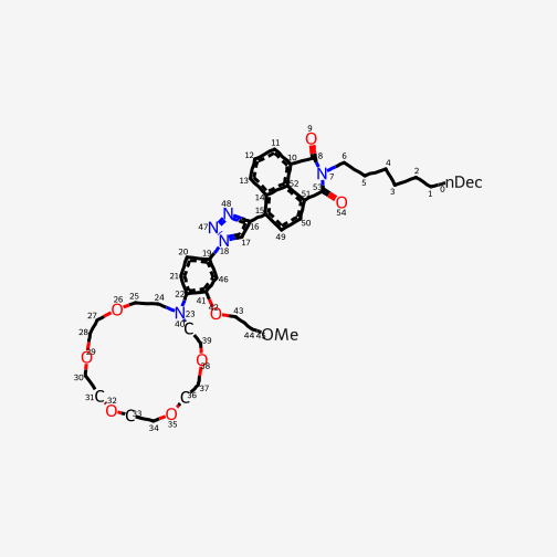 CCCCCCCCCCCCCCCCN1C(=O)c2cccc3c(-c4cn(-c5ccc(N6CCOCCOCCOCCOCCOCC6)c(OCCOC)c5)nn4)ccc(c23)C1=O